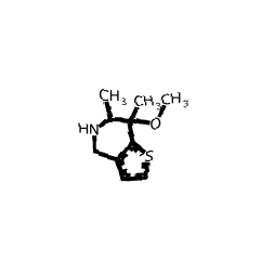 COC1(C)c2sccc2CNC1C